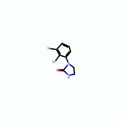 [2H]c1cccc(N2CCNC2=O)c1CC